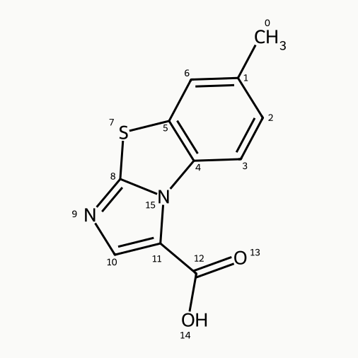 Cc1ccc2c(c1)sc1ncc(C(=O)O)n12